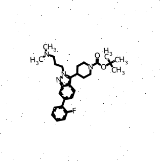 CN(C)CCCn1nc2cc(-c3ccccc3F)ccc2c1C1CCN(C(=O)OC(C)(C)C)CC1